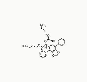 NCCCOC(=O)Nc1c(NC(=O)OCCCN)c(-c2ccccc2)c2c(c1-c1ccccc1)OCO2